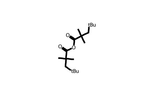 CC(C)(C)CC(C)(C)C(=O)OC(=O)C(C)(C)CC(C)(C)C